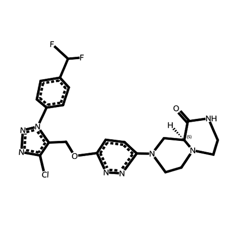 O=C1NCCN2CCN(c3ccc(OCc4c(Cl)nnn4-c4ccc(C(F)F)cc4)nn3)C[C@@H]12